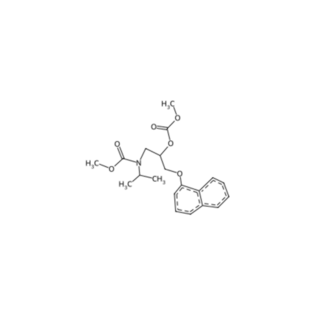 COC(=O)OC(COc1cccc2ccccc12)CN(C(=O)OC)C(C)C